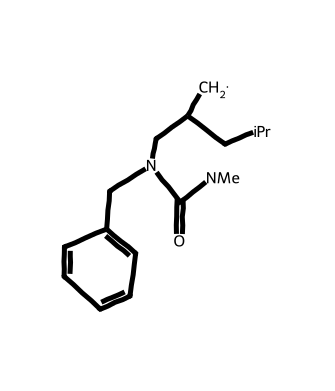 [CH2]C(CC(C)C)CN(Cc1ccccc1)C(=O)NC